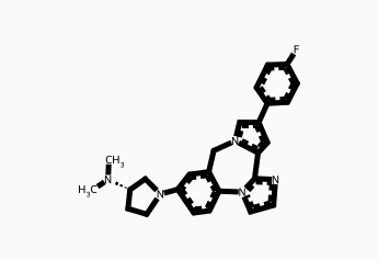 CN(C)[C@H]1CCN(c2ccc3c(c2)Cn2cc(-c4ccc(F)cc4)cc2-c2nccn2-3)C1